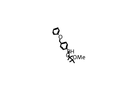 COC(C)(C)C(C)(C)OBc1ccc(COc2ccccc2)cc1